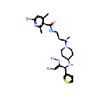 CCN/C(=C\C#N)C(NC1CCN([C@H](C)CCNC(=O)c2c(C)cc(Cl)nc2C)CC1)c1ccsc1